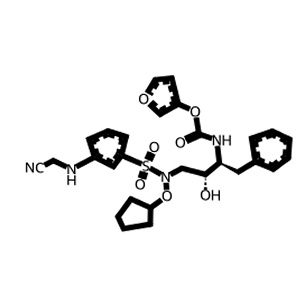 N#CCNc1cccc(S(=O)(=O)N(C[C@@H](O)[C@H](Cc2ccccc2)NC(=O)Oc2ccoc2)OC2CCCC2)c1